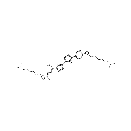 C=C/C(=C\C=C(/C)OCCCCCCC(C)C)c1ccc(-c2ccc(-c3ccc(OCCCCCCC(C)C)cc3)s2)s1